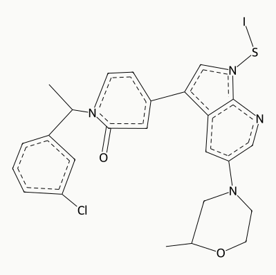 CC1CN(c2cnc3c(c2)c(-c2ccn(C(C)c4cccc(Cl)c4)c(=O)c2)cn3SI)CCO1